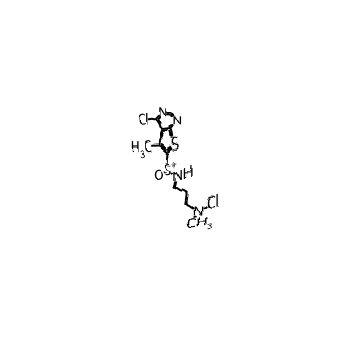 Cc1c([S+]([O-])NCCCN(C)Cl)sc2ncnc(Cl)c12